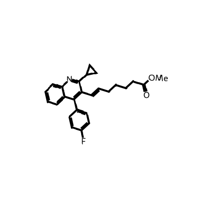 COC(=O)CCCC/C=C/c1c(C2CC2)nc2ccccc2c1-c1ccc(F)cc1